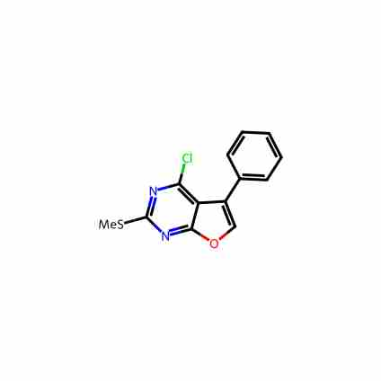 CSc1nc(Cl)c2c(-c3ccccc3)coc2n1